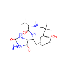 CNC(C(=O)NC(Cc1ccc(O)c(C(C)(C)C)c1)C1NC(=O)NC1=O)C(C)C